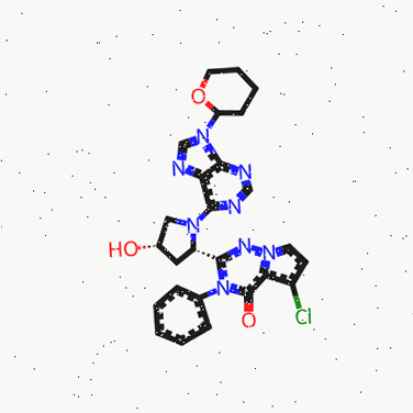 O=c1c2c(Cl)ccn2nc([C@@H]2C[C@H](O)CN2c2ncnc3c2ncn3C2CCCCO2)n1-c1ccccc1